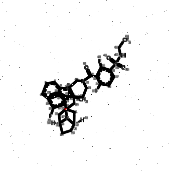 Cc1nc2ccccc2n1C1C[C@H]2CC[C@@H](C1)N2CCC1(c2cccc(F)c2)CCN(C(=O)c2c(F)ccc(S(=O)(=O)NCC(F)(F)F)c2F)CC1